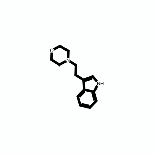 c1ccc2c(CCN3CCOCC3)c[nH]c2c1